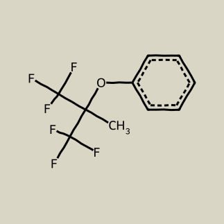 CC(Oc1ccccc1)(C(F)(F)F)C(F)(F)F